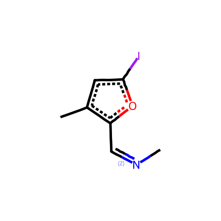 C/N=C\c1oc(I)cc1C